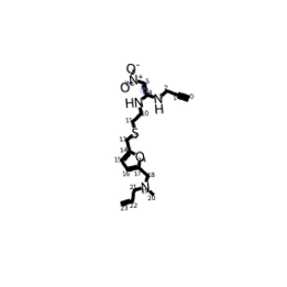 C#CCN/C(=C/[N+](=O)[O-])NCCSCc1ccc(CN(C)CC=C)o1